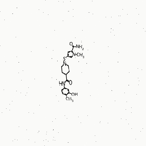 Cc1ccc(NC(=O)C2CCN(Sc3cc(C(N)=O)n(C)c3)CC2)cc1O